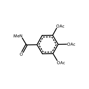 CNC(=O)c1cc(OC(C)=O)c(OC(C)=O)c(OC(C)=O)c1